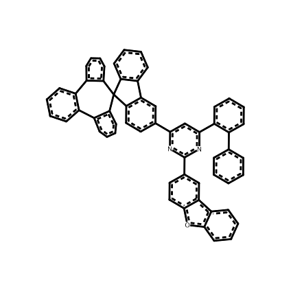 c1ccc(-c2ccccc2-c2cc(-c3ccc4c(c3)-c3ccccc3C43c4ccccc4-c4ccccc4-c4ccccc43)nc(-c3ccc4oc5ccccc5c4c3)n2)cc1